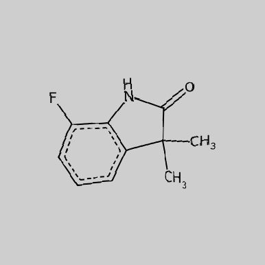 CC1(C)C(=O)Nc2c(F)cccc21